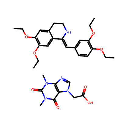 CCOc1ccc(/C=C2\NCCc3cc(OCC)c(OCC)cc32)cc1OCC.Cn1c(=O)c2c(ncn2CC(=O)O)n(C)c1=O